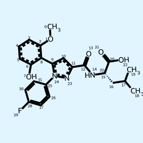 COc1cccc(O)c1-c1cc(C(=O)N[C@@H](CC(C)C)C(=O)O)nn1C1=C=C=C(F)C=C1